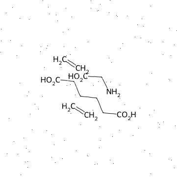 C=C.C=C.NCC(=O)O.O=C(O)CCCCC(=O)O